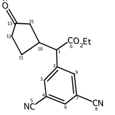 CCOC(=O)C(c1cc(C#N)cc(C#N)c1)C1CCC(=O)C1